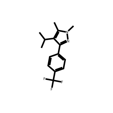 Cc1c(C(C)C)c(-c2ccc(C(F)(F)F)cc2)nn1C